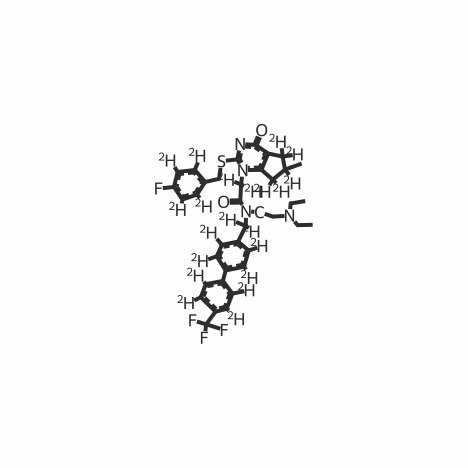 [2H]c1c([2H])c(CSc2nc(=O)c3c(n2C([2H])([2H])C(=O)N(CCN(CC)CC)C([2H])([2H])c2c([2H])c([2H])c(-c4c([2H])c([2H])c(C(F)(F)F)c([2H])c4[2H])c([2H])c2[2H])C([2H])([2H])C([2H])(C)C3([2H])[2H])c([2H])c([2H])c1F